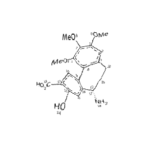 COc1cc2c(c(OC)c1OC)-c1cc(C(=O)O)c(O)cc1[C@@H](N)CC2